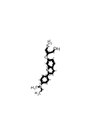 CCC(CO)Oc1ccc2ccc(-c3ccc(N(C)CC)cc3)nc2c1